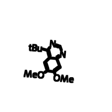 COc1cc2ncnc(C(C)(C)C)c2cc1OC